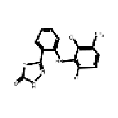 Cc1ccc(Cl)c(Nc2ccccc2-c2n[nH]c(=O)o2)c1Cl